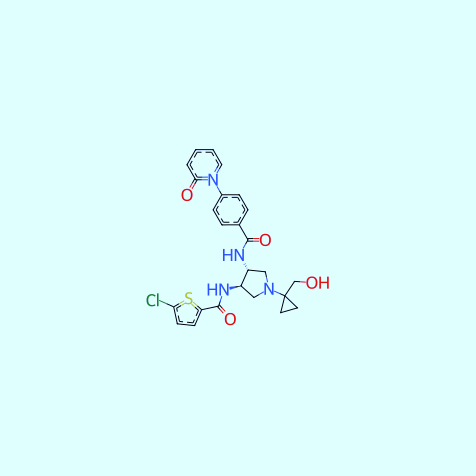 O=C(N[C@@H]1CN(C2(CO)CC2)C[C@H]1NC(=O)c1ccc(Cl)s1)c1ccc(-n2ccccc2=O)cc1